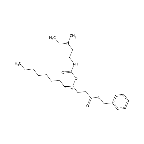 CCCCCCCC[C@H](CCC(=O)OCc1ccccc1)OC(=O)NCCN(C)CC